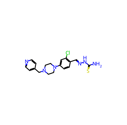 NC(=S)N/N=C/c1ccc(N2CCN(Cc3ccncc3)CC2)cc1Cl